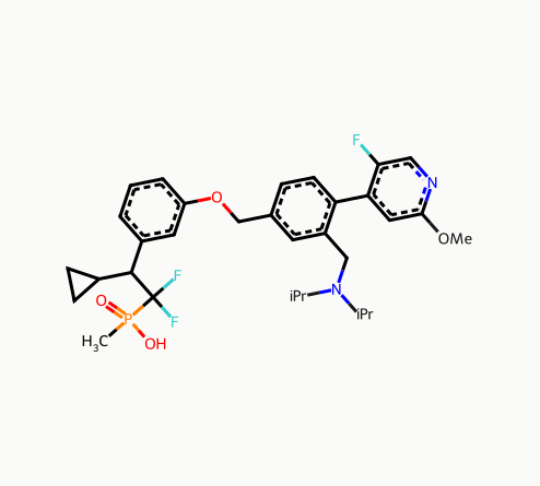 COc1cc(-c2ccc(COc3cccc(C(C4CC4)C(F)(F)P(C)(=O)O)c3)cc2CN(C(C)C)C(C)C)c(F)cn1